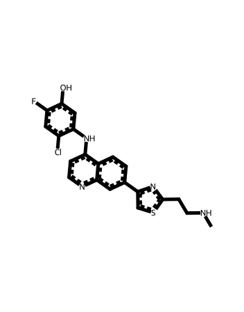 CNCCc1nc(-c2ccc3c(Nc4cc(O)c(F)cc4Cl)ccnc3c2)cs1